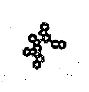 c1ccc2cc(-c3nc(-n4c5ccccc5c5c6c7ccccc7n7c8c9ccccc9ccc8c(cc54)c67)c4oc5ccccc5c4n3)ccc2c1